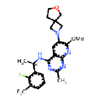 COc1nc2nc(C)nc(N[C@H](C)c3cccc(C(F)(F)F)c3F)c2cc1N1CC2(CCOC2)C1